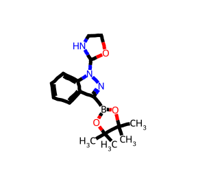 CC1(C)OB(c2nn(C3NCCO3)c3ccccc23)OC1(C)C